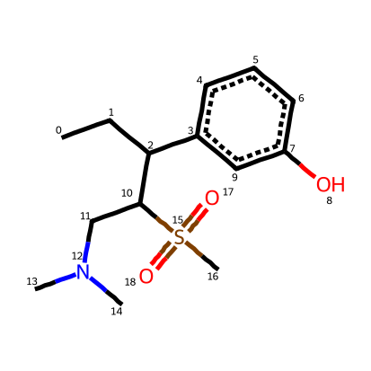 CCC(c1cccc(O)c1)C(CN(C)C)S(C)(=O)=O